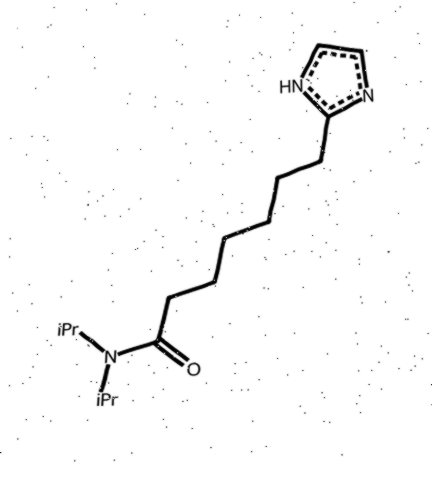 CC(C)N(C(=O)CCCCCCc1n[c]c[nH]1)C(C)C